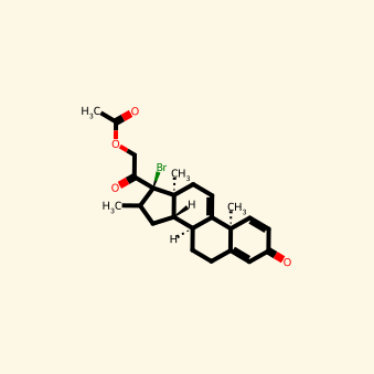 CC(=O)OCC(=O)[C@@]1(Br)C(C)C[C@H]2[C@@H]3CCC4=CC(=O)C=C[C@]4(C)C3=CC[C@@]21C